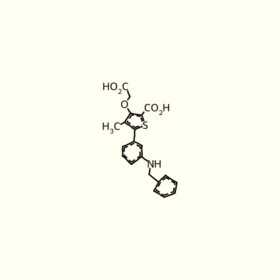 Cc1c(-c2cccc(NCc3ccccc3)c2)sc(C(=O)O)c1OCC(=O)O